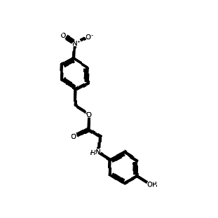 O=C(CNc1ccc(O)cc1)OCc1ccc([N+](=O)[O-])cc1